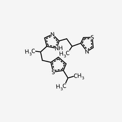 CC(C)c1ccc(CC(C)c2cnc(CC(C)c3cscn3)[nH]2)s1